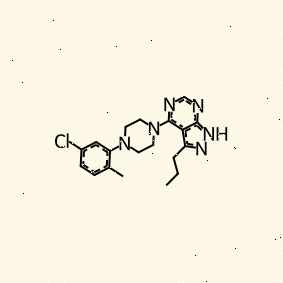 CCCc1n[nH]c2ncnc(N3CCN(c4cc(Cl)ccc4C)CC3)c12